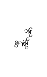 c1ccc(-c2nc(-c3ccc(-c4cccc(-n5c6ccccc6c6ccccc65)c4)cc3)nc(-c3ccc4oc5ccccc5c4c3)n2)cc1